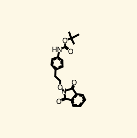 CC(C)(C)OC(=O)Nc1ccc(CCON2C(=O)c3ccccc3C2=O)cc1